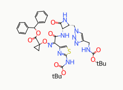 CC(C)(C)OC(=O)NCc1cn(C[C@H]2NC(=O)[C@H]2NC(=O)/C(=N\OC2(C(=O)OC(c3ccccc3)c3ccccc3)CC2)c2csc(NC(=O)OC(C)(C)C)n2)nn1